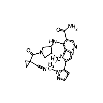 C[C@@H]1CN(C(=O)C2(C#N)CC2)C[C@H]1Nc1c(C(N)=O)cnn2cc(-c3ccnn3C)nc12